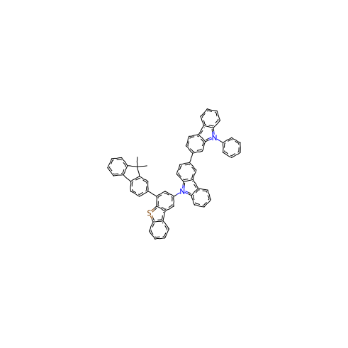 CC1(C)c2ccccc2-c2ccc(-c3cc(-n4c5ccccc5c5cc(-c6ccc7c8ccccc8n(-c8ccccc8)c7c6)ccc54)cc4c3sc3ccccc34)cc21